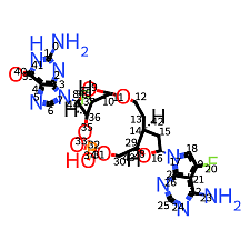 Nc1nc2c(ncn2[C@@H]2OC3OCC[C@H]4C[C@H](n5cc(F)c6c(N)ncnc65)O[C@@H]4COP(=O)(O)O[C@@H]2[C@@H]3F)c(=O)[nH]1